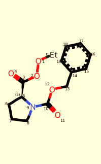 CCOOC(=O)[C@@H]1CCCN1C(=O)OCc1ccccc1